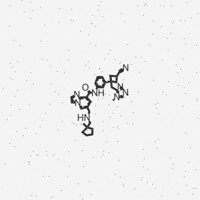 Cn1cnnc1CC1(c2cccc(NC(=O)c3cc(CNCC4(C)CCCC4)cn4ccnc34)c2)CC(C#N)C1